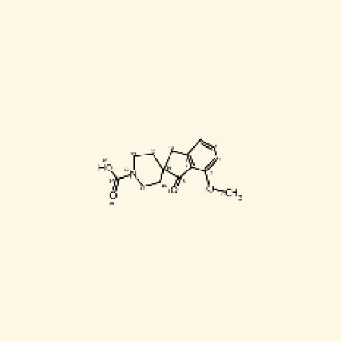 COc1cccc2c1C(=O)C1(CCN(C(=O)O)CC1)C2